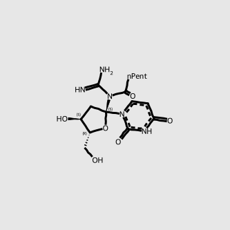 CCCCCC(=O)N(C(=N)N)[C@]1(n2ccc(=O)[nH]c2=O)C[C@H](O)[C@@H](CO)O1